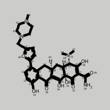 CN1CCN(Cc2ccc(-c3ccc(O)c4c3C[C@H]3C[C@H]5[C@H](N(C)C)C(O)=C(C(N)=O)C(=O)[C@@]5(O)C(O)=C3C4=O)o2)CC1